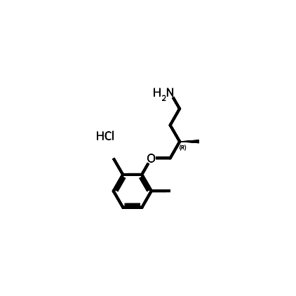 Cc1cccc(C)c1OC[C@H](C)CCN.Cl